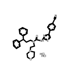 Cl.Cl.N#Cc1ccc(-c2csc(NC(=O)N(CCC(c3ccccc3)c3ccccc3)CCN3CCOCC3)n2)cc1